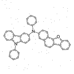 c1ccc(N(c2ccc3c(ccc4c5ccccc5oc34)c2)c2ccc3c(c2)c2ccccc2n3-c2ccccc2)cc1